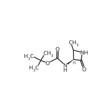 CC1NC(=O)[C@H]1NC(=O)OC(C)(C)C